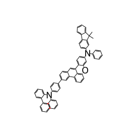 CC1(C)c2ccccc2-c2ccc(N(c3ccccc3)c3ccc4c(c3)Oc3cccc5c3c-4cc3ccc(-c4ccc(N(c6ccccc6)c6ccccc6-c6ccccc6)cc4)cc35)cc21